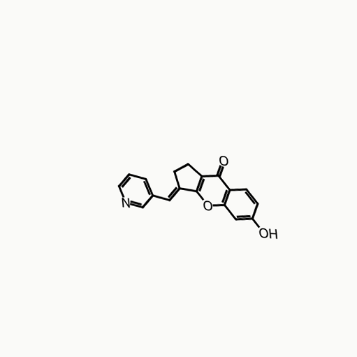 O=c1c2c(oc3cc(O)ccc13)C(=Cc1cccnc1)CC2